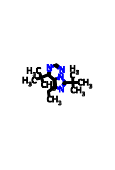 CCc1nc(C(C)(C)C)n2ncnc(C(C)(C)C)c12